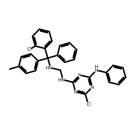 Cc1ccc(C(NCNc2nc(Cl)nc(Nc3ccccc3)n2)(c2ccccc2)c2ccccc2Cl)cc1